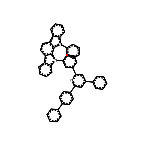 c1ccc(-c2ccc(-c3cc(-c4ccccc4)cc(-c4cccc(-n5c6ccccc6c6ccc7c8ccccc8n(-c8ccccc8)c7c65)c4)n3)cc2)cc1